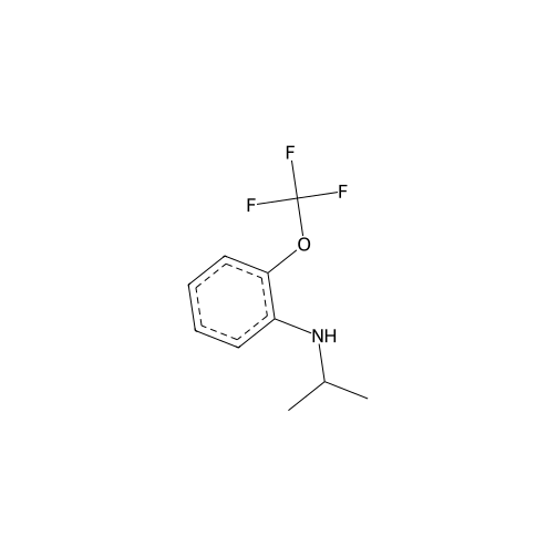 CC(C)Nc1ccccc1OC(F)(F)F